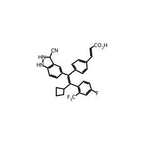 N#CC1NNc2ccc(/C(=C(/c3ccc(F)cc3C(F)(F)F)C3CCC3)c3ccc(/C=C/C(=O)O)cc3)cc21